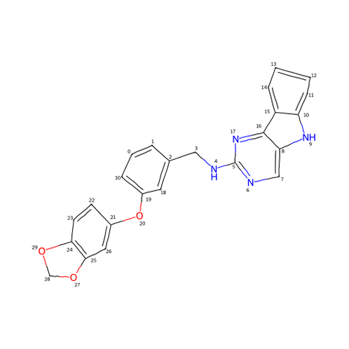 c1cc(CNc2ncc3[nH]c4ccccc4c3n2)cc(Oc2ccc3c(c2)OCO3)c1